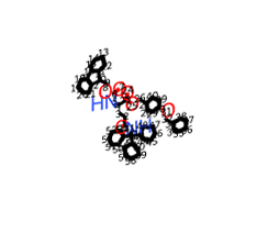 O=C(CC[C@H](NC(=O)OCC1c2ccccc2-c2ccccc21)C(=O)OCc1ccc(OCc2ccccc2)cc1)NC(c1ccccc1)(c1ccccc1)c1ccccc1